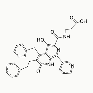 O=C(O)CCNC(=O)c1nc(-c2cccnc2)c2[nH]c(=O)c(CCc3ccccc3)c(Cc3ccccc3)c2c1O